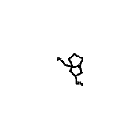 CC(C)CC12CCCN1CC(C)C2